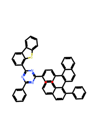 c1ccc(-c2nc(-c3ccc(-c4c(-c5c(-c6ccccc6)ccc6ccccc56)ccc5ccccc45)cc3)nc(-c3cccc4c3sc3ccccc34)n2)cc1